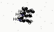 CO/C(C)=C(/C(=O)O)c1ccccc1Oc1cccc(Oc2ccc([N+](=O)[O-])cc2)c1.CO/C=C(/C(=O)O)c1ccccc1Oc1cccc(Oc2ncc(C)cn2)c1.COC(C)=C(C(=O)O)c1ccccc1Oc1cccc(OS(=O)(=O)c2ccccc2)c1